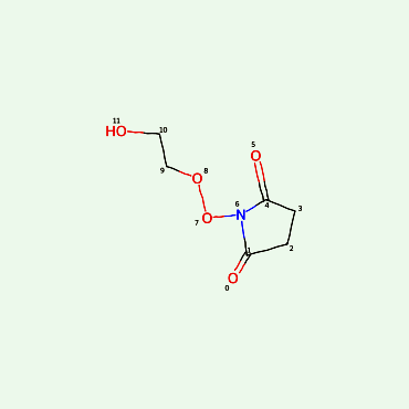 O=C1CCC(=O)N1OOCCO